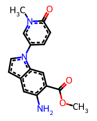 COC(=O)c1cc2c(ccn2-c2ccc(=O)n(C)c2)cc1N